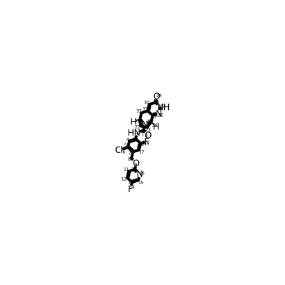 O=C(Nc1cc(Cl)c(COc2ccc(F)cn2)cc1F)N1[C@H]2CC[C@@H]1c1n[nH]c(=O)cc1C2